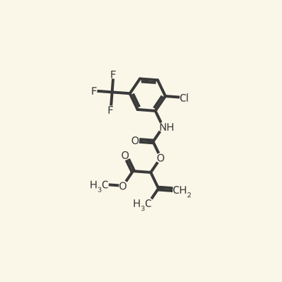 C=C(C)C(OC(=O)Nc1cc(C(F)(F)F)ccc1Cl)C(=O)OC